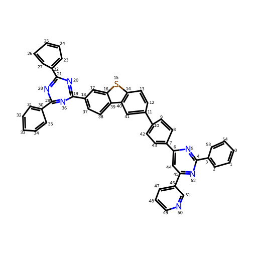 c1ccc(-c2nc(-c3ccc(-c4ccc5sc6cc(-c7nc(-c8ccccc8)nc(-c8ccccc8)n7)ccc6c5c4)cc3)cc(-c3cccnc3)n2)cc1